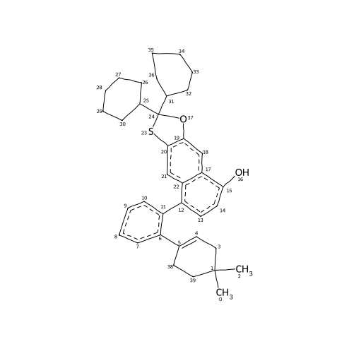 CC1(C)CC=C(c2ccccc2-c2ccc(O)c3cc4c(cc23)SC(C2CCCCC2)(C2CCCCC2)O4)CC1